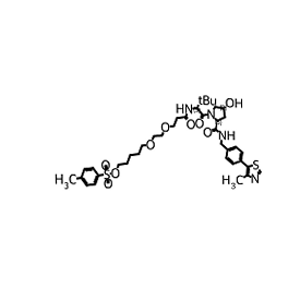 Cc1ccc(S(=O)(=O)OCCCCCOCCOCCC(=O)N[C@H](C(=O)N2C[C@H](O)C[C@H]2C(=O)NCc2ccc(-c3scnc3C)cc2)C(C)(C)C)cc1